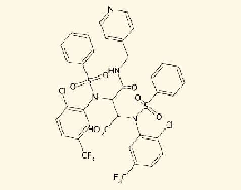 O=C(O)C(C(C(=O)NCc1ccncc1)N(c1cc(C(F)(F)F)ccc1Cl)S(=O)(=O)c1ccccc1)N(c1cc(C(F)(F)F)ccc1Cl)S(=O)(=O)c1ccccc1